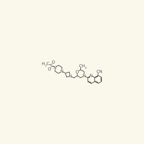 CC1CN(c2ccc3cccc(C#N)c3n2)CC(CN2CC(N3CCN(S(C)(=O)=O)CC3)C2)O1